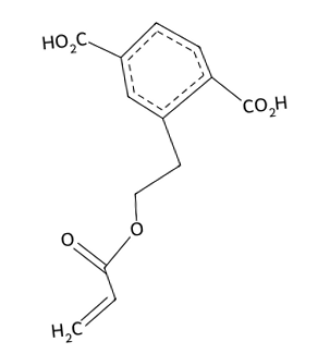 C=CC(=O)OCCc1cc(C(=O)O)ccc1C(=O)O